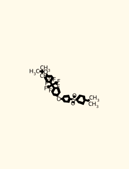 CC(C)c1ccc(S(=O)(=O)c2ccc(Oc3ccc(C(c4ccc(OC(C)(C)C)cc4)(C(F)(F)F)C(F)(F)F)cc3)cc2)cc1